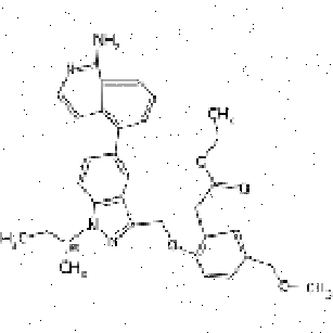 CCOC(=O)Cc1cc(COC)ccc1OCc1nn([C@H](C)CC)c2ccc(-c3cccc4c(N)nccc34)cc12